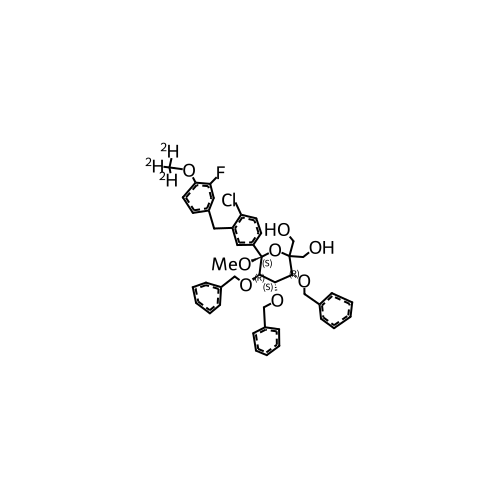 [2H]C([2H])([2H])Oc1ccc(Cc2cc([C@]3(OC)OC(CO)(CO)[C@H](OCc4ccccc4)[C@H](OCc4ccccc4)[C@H]3OCc3ccccc3)ccc2Cl)cc1F